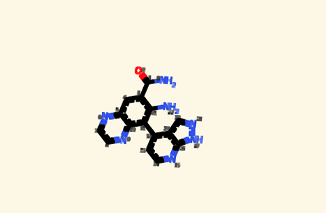 NC(=O)c1cc2nccnc2c(-c2ccnc3[nH]ncc23)c1N